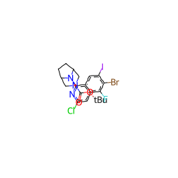 CC(C)(C)OC(=O)N1CC2CCC(C1)N2c1nc(Cl)cc2c(F)c(Br)c(I)cc12